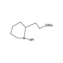 [CH2]CCN1CCCCC1CCOC